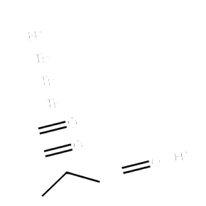 CCC.[C]=O.[C]=O.[C]=O.[H+].[H+].[Ti-2].[Ti-2].[Ti-2]